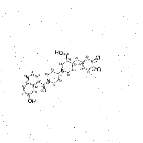 O=C(c1ccnc2ccc(O)cc12)N1CCC(N2CCC(Cc3ccc(Cl)c(Cl)c3)[C@H](CO)C2)CC1